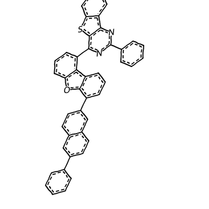 c1ccc(-c2ccc3cc(-c4cccc5c4oc4cccc(-c6nc(-c7ccccc7)nc7c6sc6ccccc67)c45)ccc3c2)cc1